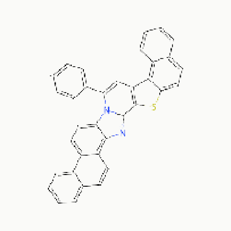 [c]1ccc(-c2cc3c(sc4ccc5ccccc5c43)c3nc4c5ccc6ccccc6c5ccc4n23)cc1